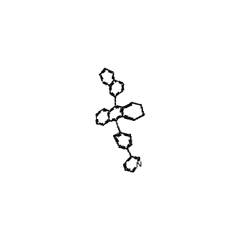 C1=c2c(-c3ccc(-c4cccnc4)cc3)c3ccccc3c(-c3ccc4ccccc4c3)c2=CCC1